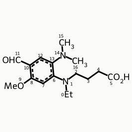 CCN(CCCC(=O)O)c1cc(OC)c(C=O)cc1N(C)C